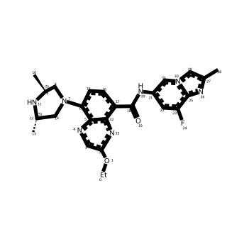 CCOc1cnc2c(N3C[C@H](C)N[C@@H](C)C3)ccc(C(=O)Nc3cc(F)c4nc(C)cn4c3)c2n1